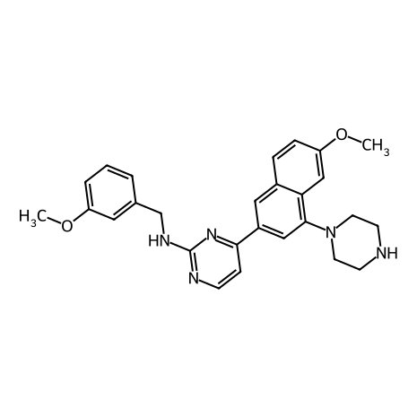 COc1cccc(CNc2nccc(-c3cc(N4CCNCC4)c4cc(OC)ccc4c3)n2)c1